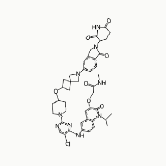 CNC(=O)COc1cc2cc(Nc3nc(N4CCC(OC5CC6(C5)CN(c5ccc7c(c5)CN(C5CCC(=O)NC5=O)C7=O)C6)CC4)ncc3Cl)ccc2n(C(C)C)c1=O